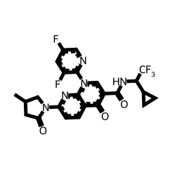 CC1CC(=O)N(c2ccc3c(=O)c(C(=O)NC(C4CC4)C(F)(F)F)cn(-c4ncc(F)cc4F)c3n2)C1